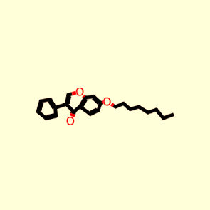 CCCCCCCCOc1ccc2c(=O)c(-c3ccccc3)coc2c1